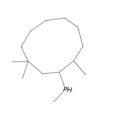 CPC1CC(C)(C)CCCCCCC1C